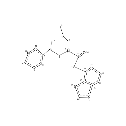 CCCN(C[C@@H](C)c1cccnc1)C(=O)Cc1cccc2ncsc12